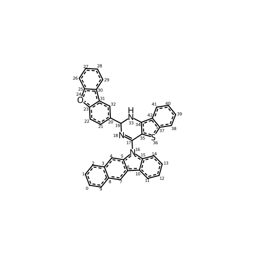 c1ccc2cc3c(cc2c1)c1ccccc1n3C1=NC(c2ccc3oc4ccccc4c3c2)Nc2c1sc1ccccc21